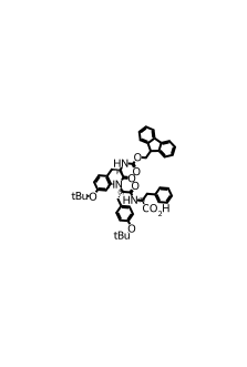 CC(C)(C)Oc1ccc(C[C@H](NC(=O)[C@@H](Cc2ccc(OC(C)(C)C)cc2)NC(=O)OCC2c3ccccc3-c3ccccc32)C(=O)N[C@@H](Cc2ccccc2)C(=O)O)cc1